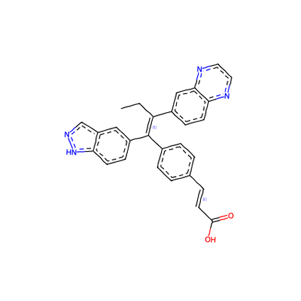 CC/C(=C(/c1ccc(/C=C/C(=O)O)cc1)c1ccc2[nH]ncc2c1)c1ccc2nccnc2c1